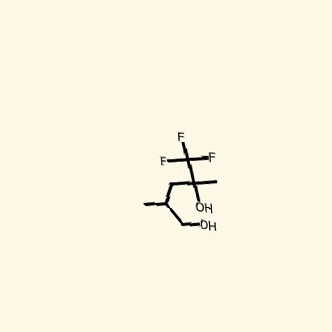 CC(CO)CC(C)(O)C(F)(F)F